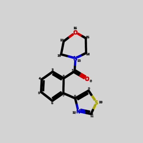 O=C(c1ccccc1-c1cs[c]n1)N1CCOCC1